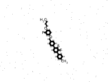 C=CCCOc1ccc(OCc2ccc(-c3ccc(-c4ccc(C)cc4)c(F)c3F)cc2)cc1F